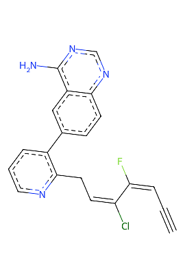 C#C/C=C(F)\C(Cl)=C/Cc1ncccc1-c1ccc2ncnc(N)c2c1